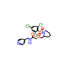 O=C(COCC1CCCCN1S(=O)(=O)c1c(Cl)cc(Cl)cc1Cl)NCc1ccncc1